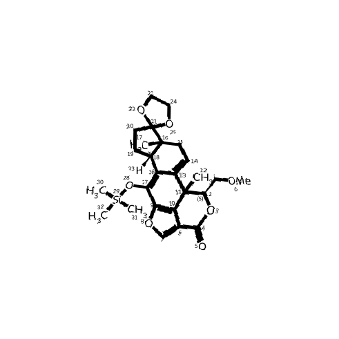 COC[C@H]1OC(=O)c2coc3c2C1(C)C1=CCC2(C)[C@@H](CCC24OCCO4)C1=C3O[Si](C)(C)C